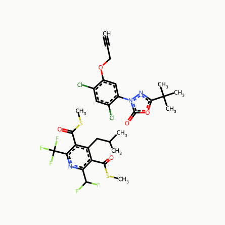 C#CCOc1cc(-n2nc(C(C)(C)C)oc2=O)c(Cl)cc1Cl.CSC(=O)c1c(C(F)F)nc(C(F)(F)F)c(C(=O)SC)c1CC(C)C